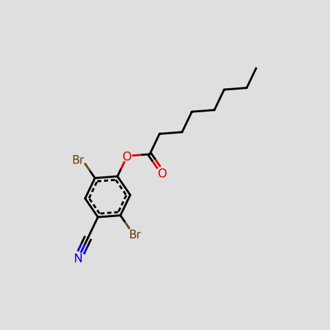 CCCCCCCC(=O)Oc1cc(Br)c(C#N)cc1Br